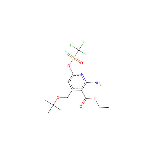 CCOC(=O)c1c(COC(C)(C)C)cc(OS(=O)(=O)C(F)(F)F)nc1N